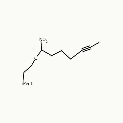 [CH2]C#CCCCC(CCCC([CH2])CCC)[N+](=O)[O-]